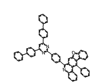 c1ccc(-c2ccc(-c3cc(-c4ccc(-c5ccccc5)cc4)nc(-c4ccc(-c5nc6ccccc6c6c(-c7ccccc7)c7c(cc56)oc5ccccc57)cc4)n3)cc2)cc1